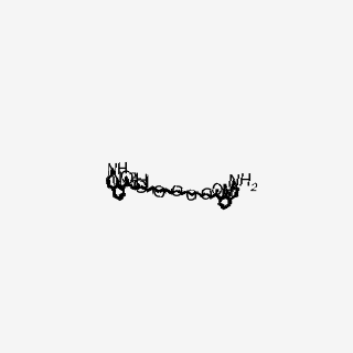 Nc1ccc2cccc(C(O)COCCOCCOCCOCCOCC(O)c3cccc4ccc(N)nc34)c2n1